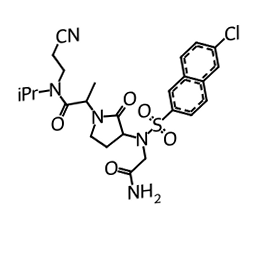 CC(C)N(CCC#N)C(=O)C(C)N1CCC(N(CC(N)=O)S(=O)(=O)c2ccc3cc(Cl)ccc3c2)C1=O